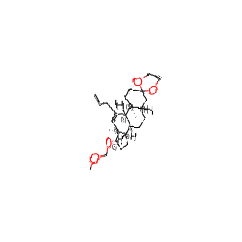 C=CCC1=C[C@]2(C)[C@@H](OCOC)CC[C@H]2[C@@H]2CC[C@H]3CC4(CC[C@]3(C)[C@@H]12)OCCO4